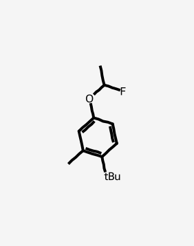 Cc1cc(OC(C)F)ccc1C(C)(C)C